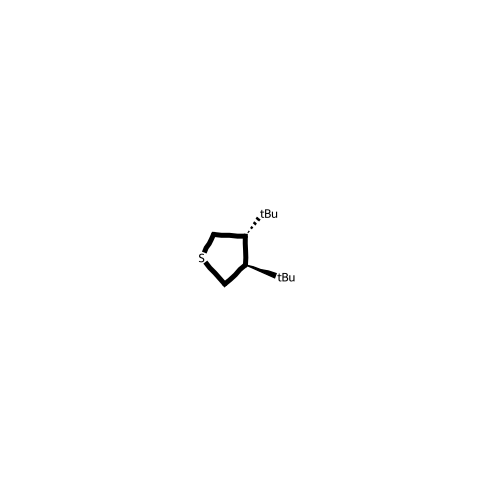 CC(C)(C)[C@H]1CSC[C@@H]1C(C)(C)C